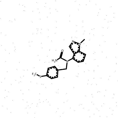 Cn1ncc2c(N(Cc3ccc(SC(F)(F)F)cc3)C(N)=O)cccc21